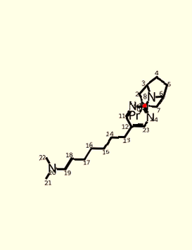 CC(C)N1CC2CCC(C1)N2c1ncc(CCCCCCCN(C)C)cn1